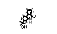 CC(C)(CO)C1Cc2[nH]c(=O)c3ccccc3c2CO1